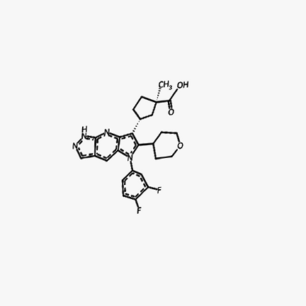 C[C@@]1(C(=O)O)CC[C@@H](c2c(C3CCOCC3)n(-c3ccc(F)c(F)c3)c3cc4cn[nH]c4nc23)C1